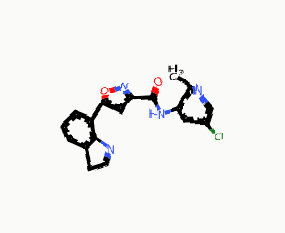 Cc1ncc(Cl)cc1NC(=O)c1cc(-c2cccc3c2N=CC3)on1